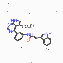 CCOC(=O)c1c[nH]c2ncnc(-c3cccc(NC(=O)C=Cc4c[nH]c5ccccc45)c3)c12